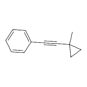 CC1(C#Cc2ccccc2)CC1